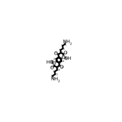 NCCCCC(C(=O)OO)C(=O)c1ccc(C(=O)C(CCCCN)C(=O)OO)cc1